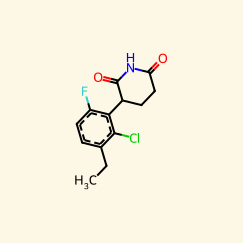 CCc1ccc(F)c(C2CCC(=O)NC2=O)c1Cl